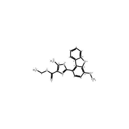 CCOC(=O)c1nc(-c2ccc(OC)c3oc4ccccc4c23)oc1C